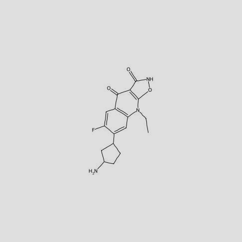 CCn1c2cc(C3CCC(N)C3)c(F)cc2c(=O)c2c(=O)[nH]oc21